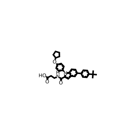 CC(C)(C)c1ccc(-c2ccc3c(c2)cc(C(=O)NCCC(=O)O)n3-c2ccc(OC3CCCC3)cc2)cc1